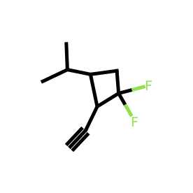 C#CC1C(C(C)C)CC1(F)F